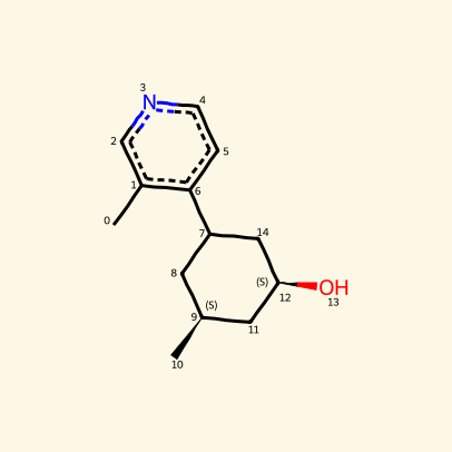 Cc1cnccc1C1C[C@H](C)C[C@H](O)C1